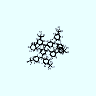 CC(C)(C)c1ccc(C(c2ccc(C(C)(C)C)cc2)c2cc3c4c(c2)N2c5c(cc(C(C)(C)C)cc5C5(C)CCCCC25C)B4c2ccc(N(c4ccc(C(C)(C)C)cc4)c4ccc(C(C)(C)C)cc4)cc2N3c2cccc3c2oc2ccccc23)cc1